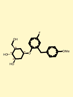 COc1ccc(Cc2cc(F)ccc2O[C@@H]2C[C@H](CO)[C@@H](O)[C@H](O)C2)cc1